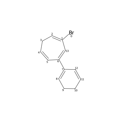 BrC1=CCC=CC(C2=CCCC=C2)=C1